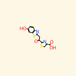 O=C(Cc1nc2ccc(O)cc2s1)C1=N[C@@H](C(=O)O)CS1